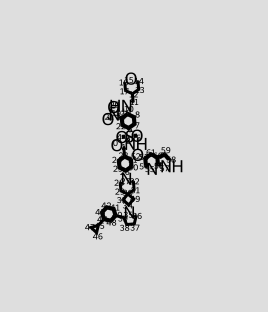 O=C(NS(=O)(=O)c1ccc(NCC2CCOCC2)c([N+](=O)[O-])c1)c1ccc(N2CCC3(CC2)CC(N2CCCC2c2cccc(C4CC4)c2)C3)cc1Oc1cnc2[nH]ccc2c1